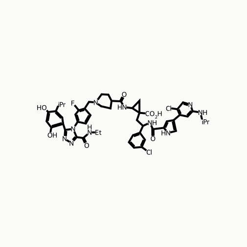 CCNC(=O)c1nnc(-c2cc(C(C)C)c(O)cc2O)n1-c1ccc(CN2CCC(C(=O)NC3CC3(CC(NC(=O)c3cc(-c4cc(NC(C)C)ncc4Cl)c[nH]3)c3cccc(Cl)c3)C(=O)O)CC2)c(F)c1